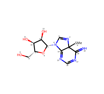 CSC12N=CN([C@@H]3O[C@H](CO)[C@@H](O)[C@H]3O)C1=NC=NC2=N